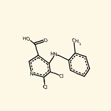 Cc1ccccc1Nc1c(C(=O)O)cnc(Cl)c1Cl